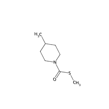 CSC(=O)N1CCC(C)CC1